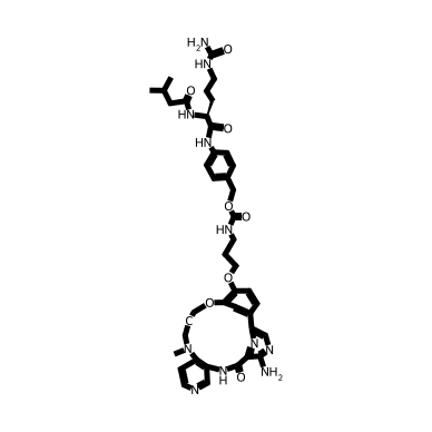 CC(C)CC(=O)N[C@@H](CCCNC(N)=O)C(=O)Nc1ccc(COC(=O)NCCCOc2ccc3cc2OCCCN(C)c2ccncc2NC(=O)c2nc-3cnc2N)cc1